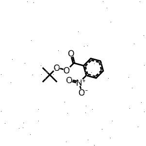 CC(C)(C)OOC(=O)c1ccccc1[N+](=O)[O-]